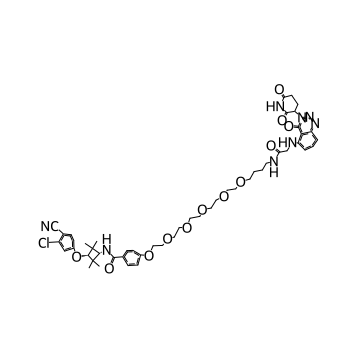 CC1(C)[C@H](NC(=O)c2ccc(OCCOCCOCCOCCOCCOCCCCNC(=O)CNc3cccc4nnn(C5CCC(=O)NC5=O)c(=O)c34)cc2)C(C)(C)[C@H]1Oc1ccc(C#N)c(Cl)c1